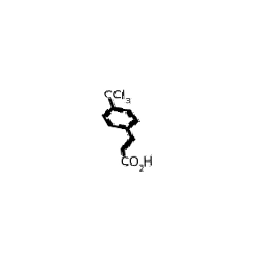 O=C(O)C=Cc1ccc(C(Cl)(Cl)Cl)cc1